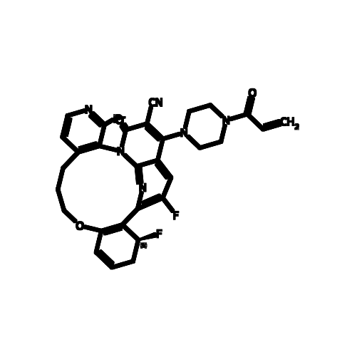 C=CC(=O)N1CCN(c2c(C#N)c(=O)n3c4nc(c(F)cc24)C2=C(C=CC[C@@H]2F)OCCCc2ccnc(C(C)C)c2-3)CC1